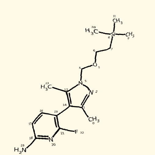 Cc1nn(COCC[Si](C)(C)C)c(C)c1-c1ccc(N)nc1F